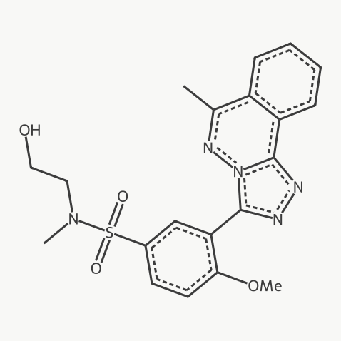 COc1ccc(S(=O)(=O)N(C)CCO)cc1-c1nnc2c3ccccc3c(C)nn12